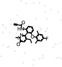 C#CC(=O)Nc1cccc(Oc2c(C)cc(F)cc2C)c1-c1nn(C)c(=O)cc1CC